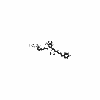 O=C(O)c1ccc(CCCN2C(=O)C(F)(F)C[C@@H]2C=C[C@@H](O)CCCCc2ccccc2)s1